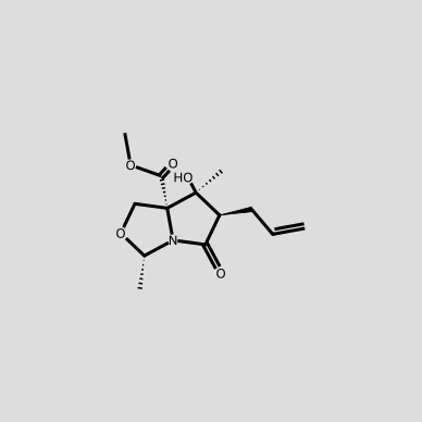 C=CC[C@H]1C(=O)N2[C@H](C)OC[C@@]2(C(=O)OC)[C@@]1(C)O